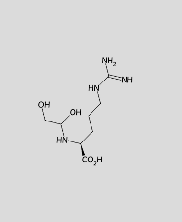 N=C(N)NCCC[C@H](NC(O)CO)C(=O)O